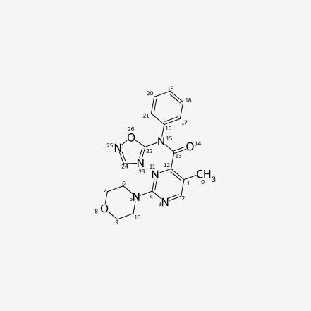 Cc1cnc(N2CCOCC2)nc1C(=O)N(c1ccccc1)c1ncno1